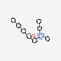 C1=CC(c2ccc(-c3ccc(-c4ccccc4)cc3)cc2)Cc2oc3c(-c4nc(-c5ccccc5)nc(-c5ccc(-c6ccccc6)cc5)n4)cccc3c21